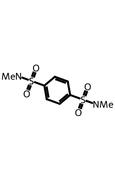 CNS(=O)(=O)c1ccc(S(=O)(=O)NC)cc1